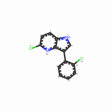 Clc1ccc2[nH]cc(-c3ccccc3Cl)c2n1